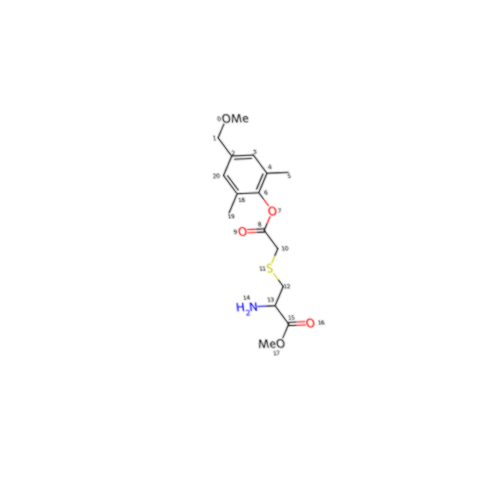 COCc1cc(C)c(OC(=O)CSCC(N)C(=O)OC)c(C)c1